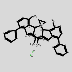 Cc1ccc(-c2ccccc2)c2c1[CH]([Hf+2]1([CH]3C(C(C)C)=Cc4c(-c5ccccc5)ccc(C)c43)[CH2][CH2]1)C(C(C)C)=C2.[Cl-].[Cl-]